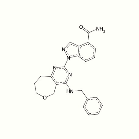 NC(=O)c1cccc2c1cnn2-c1nc2c(c(NCc3ccccc3)n1)COCCC2